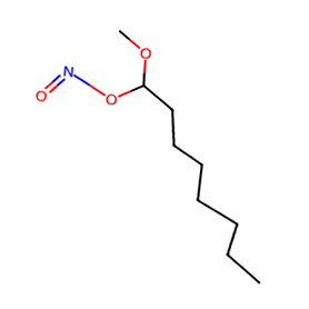 CCCCCCCC(OC)ON=O